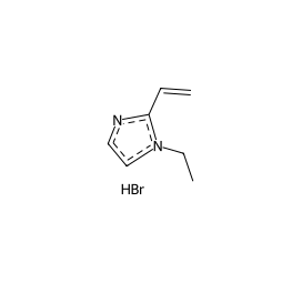 Br.C=Cc1nccn1CC